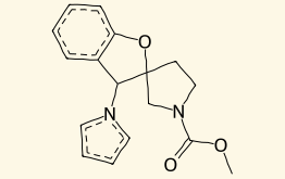 COC(=O)N1CCC2(C1)Oc1ccccc1C2n1cccc1